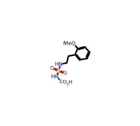 COc1ccccc1CCNS(=O)(=O)NC(=O)O